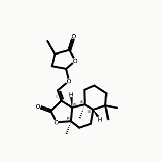 CC1CC(O/C=C2/C(=O)O[C@]3(C)CC[C@H]4C(C)(C)CCC[C@]4(C)[C@@H]23)OC1=O